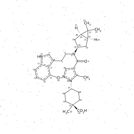 Cc1c(C(=O)N(CCc2c[nH]c3cccc(Cl)c23)[C@H]2C[C@@H]3[C@H](C2)C3(C)C)cnn1[C@H]1CC[C@](C)(C(=O)O)CC1